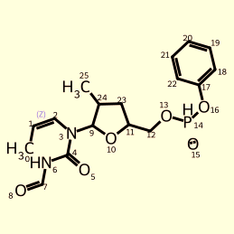 C/C=C\N(C(=O)NC=O)C1OC(CO[PH](=O)Oc2ccccc2)CC1C